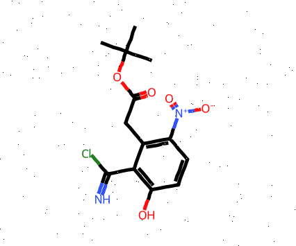 CC(C)(C)OC(=O)Cc1c([N+](=O)[O-])ccc(O)c1C(=N)Cl